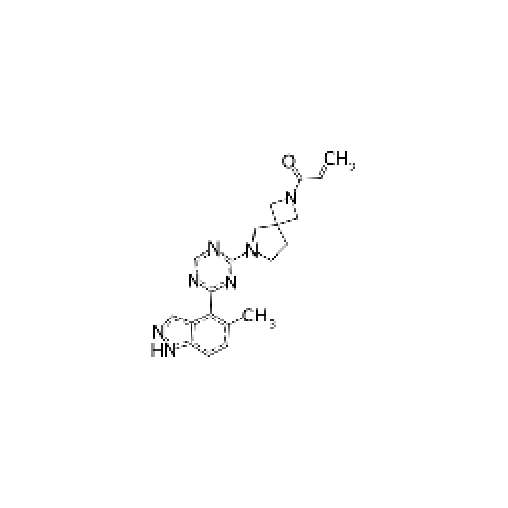 C=CC(=O)N1CC2(CCN(c3ncnc(-c4c(C)ccc5[nH]ncc45)n3)C2)C1